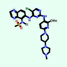 CCN(c1c(Nc2nc(Nc3ccc(N4CCC(N5CCN(C)CC5)CC4)nc3OC)ncc2Br)ccc2nccnc12)S(C)(=O)=O